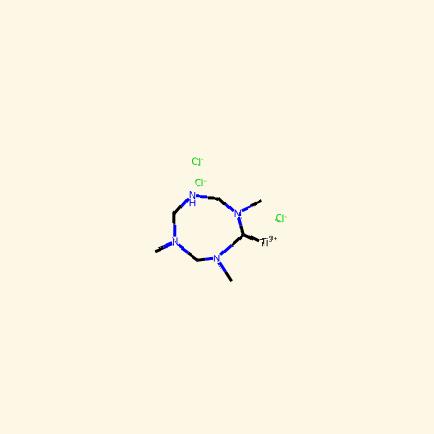 CN1CNCN(C)[CH]([Ti+3])N(C)C1.[Cl-].[Cl-].[Cl-]